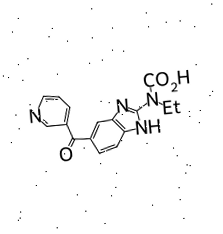 CCN(C(=O)O)c1nc2cc(C(=O)c3cccnc3)ccc2[nH]1